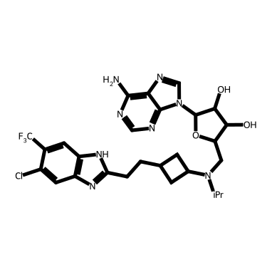 CC(C)N(CC1OC(n2cnc3c(N)ncnc32)C(O)C1O)C1CC(CCc2nc3cc(Cl)c(C(F)(F)F)cc3[nH]2)C1